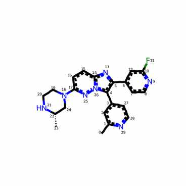 Cc1cc(-c2c(-c3ccnc(F)c3)nc3ccc(N4CCN[C@@H](C)C4)nn23)ccn1